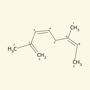 C=C(C)/C=C\C/C(C)=C\C